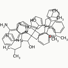 CC(C)C[Si](c1ccccc1)(c1ccccc1)C(O)C1CC(C(O)[Si](CC(C)C)(c2ccccc2)c2ccccc2)(n2cnc3c(N)ncnc32)C1(O)C(O)[Si](CC(C)C)(c1ccccc1)c1ccccc1